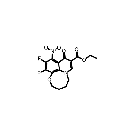 CCOC(=O)c1cn2c3c(c(F)c(F)c([N+](=O)[O-])c3c1=O)OCCCC2